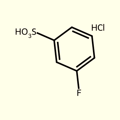 Cl.O=S(=O)(O)c1cccc(F)c1